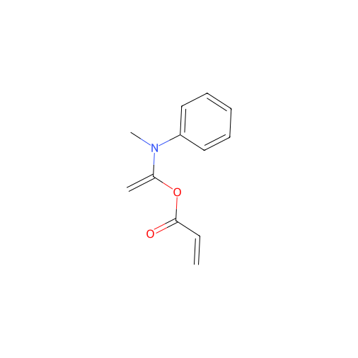 C=CC(=O)OC(=C)N(C)c1ccccc1